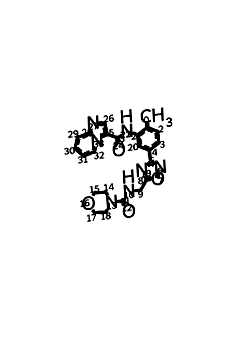 Cc1ccc(-c2noc(CNC(=O)N3CCOCC3)n2)cc1NC(=O)c1cnc2ccccn12